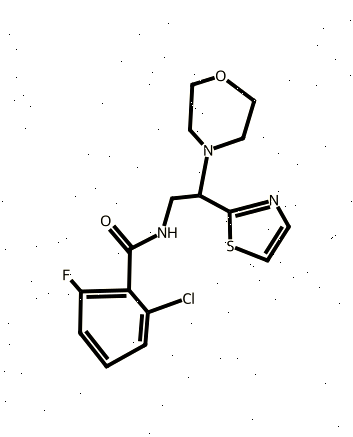 O=C(NCC(c1nccs1)N1CCOCC1)c1c(F)cccc1Cl